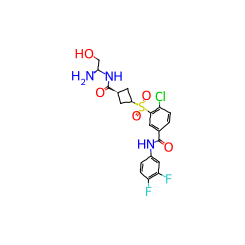 N[C@@H](CO)NC(=O)[C@H]1C[C@@H](S(=O)(=O)c2cc(C(=O)Nc3ccc(F)c(F)c3)ccc2Cl)C1